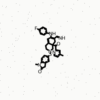 Cc1ccnc(C(=O)C23CC(C=N)=C(Nc4ccc(F)cc4)C=C2CCN(Sc2ccc4c(c2)CC(=O)N4C)C3)c1